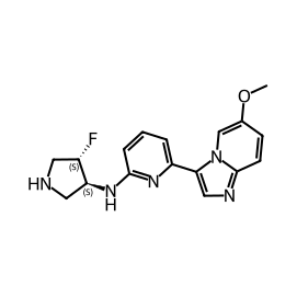 COc1ccc2ncc(-c3cccc(N[C@H]4CNC[C@@H]4F)n3)n2c1